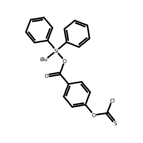 CCC(C)[Si](OC(=O)c1ccc(OC(=S)Cl)cc1)(c1ccccc1)c1ccccc1